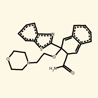 NC(=O)C1C=c2ccccc2=CC1(OCCN1CCOCC1)c1nc2ccccc2s1